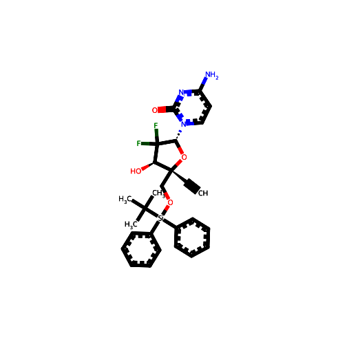 C#C[C@]1(CO[Si](c2ccccc2)(c2ccccc2)C(C)(C)C)O[C@@H](n2ccc(N)nc2=O)C(F)(F)[C@@H]1O